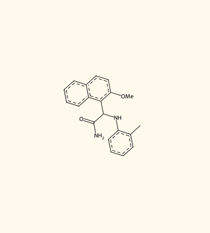 COc1ccc2ccccc2c1C(Nc1ccccc1C)C(N)=O